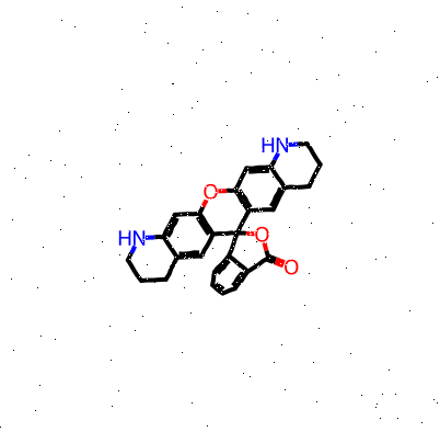 O=C1OC2(c3cc4c(cc3Oc3cc5c(cc32)CCCN5)NCCC4)c2ccccc21